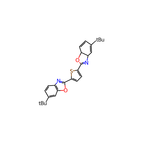 CC(C)(C)C1=CC2N=C(c3ccc(-c4nc5ccc(C(C)(C)C)cc5o4)s3)OC2C=C1